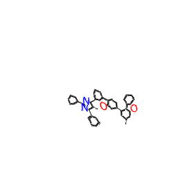 Cc1cc(-c2ccc3c(c2)oc2c(-c4nc(-c5ccccc5)nc(-c5ccccc5)c4C)cccc23)c2c(c1)oc1ccccc12